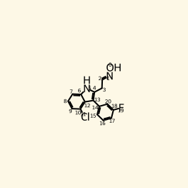 ON=CCc1[nH]c2cccc(Cl)c2c1-c1cccc(F)c1